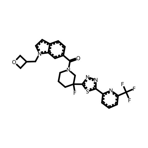 O=C(c1ccc2ccn(CC3COC3)c2c1)N1CCCC(F)(c2nnc(-c3cccc(C(F)(F)F)n3)s2)C1